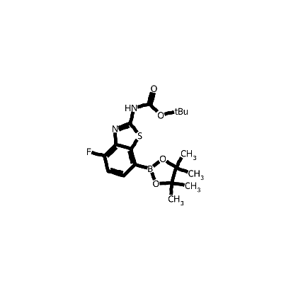 CC(C)(C)OC(=O)Nc1nc2c(F)ccc(B3OC(C)(C)C(C)(C)O3)c2s1